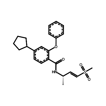 C[C@@H](/C=C/S(C)(=O)=O)NC(=O)c1ccc(C2CCCC2)cc1Oc1ccccc1